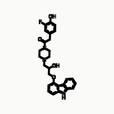 O=C(Cc1ccc(O)c(F)c1)N1CCN(CC(O)COc2cccc3[nH]c4ccccc4c23)CC1